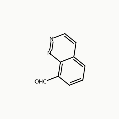 O=[C]c1cccc2ccnnc12